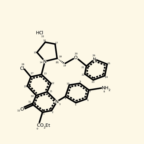 CCOC(=O)c1cn(-c2ccc(N)cc2)c2cc(N3CCC[C@@H]3COc3ccccn3)c(Cl)cc2c1=O.Cl